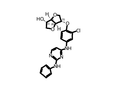 O[C@H]1CO[C@H]2[C@@H]1OC[C@@H]2Oc1ccc(Nc2ccnc(Nc3ccccc3)n2)cc1Cl